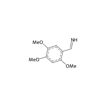 COc1cc(OC)c(OC)cc1C=N